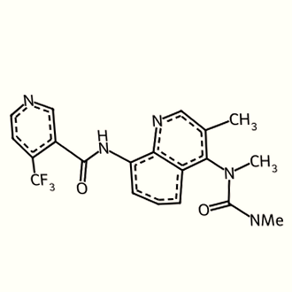 CNC(=O)N(C)c1c(C)cnc2c(NC(=O)c3cnccc3C(F)(F)F)cccc12